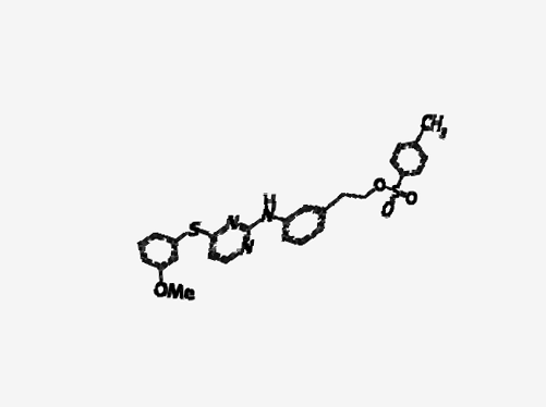 COc1cccc(Sc2ccnc(Nc3cccc(CCOS(=O)(=O)c4ccc(C)cc4)c3)n2)c1